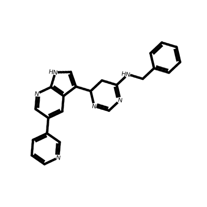 C1=NC(c2c[nH]c3ncc(-c4cccnc4)cc23)CC(NCc2ccccc2)=N1